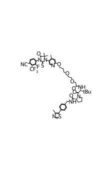 Cc1cc(OCCCOCCOCC(=O)N[C@H](C(=O)N2CCC[C@H]2C(=O)NCc2ccc(-c3scnc3C)cc2)C(C)(C)C)ncc1N1C(=S)N(c2ccc(C#N)c(C(F)(F)F)c2F)C(=O)C1(C)C